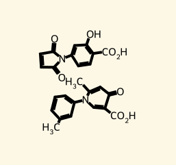 Cc1cccc(-n2cc(C(=O)O)c(=O)cc2C)c1.O=C(O)c1ccc(N2C(=O)C=CC2=O)cc1O